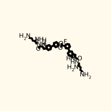 NCCC[C@@H](N)CNC(=O)c1cc2cc(-c3ccc(F)c(C4Oc5ccc(-c6ccc7cc(C(=O)NC[C@H](N)CCCN)[nH]c7c6)cc5O4)c3)ccc2[nH]1